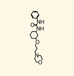 O=C(Nc1ccccc1)NC1CCCC(OCCCN2CCOCC2)C1